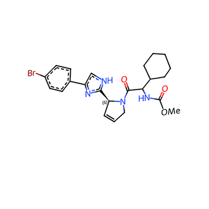 COC(=O)NC(C(=O)N1CC=C[C@H]1c1nc(-c2ccc(Br)cc2)c[nH]1)C1CCCCC1